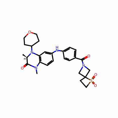 C[C@@H]1C(=O)N(C)c2ccc(Nc3ccc(C(=O)N4CC5(CCS5(=O)=O)C4)cc3)cc2N1C1CCOCC1